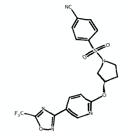 N#Cc1ccc(S(=O)(=O)N2CC[C@@H](Oc3ccc(-c4noc(C(F)(F)F)n4)cn3)C2)cc1